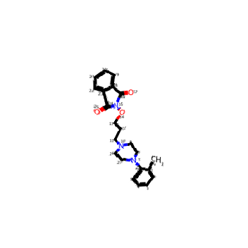 Cc1ccccc1N1CCN(CCCON2C(=O)c3ccccc3C2=O)CC1